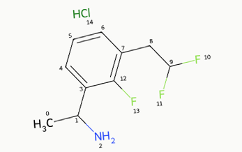 CC(N)c1cccc(CC(F)F)c1F.Cl